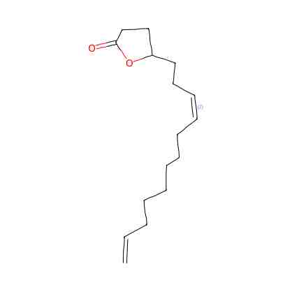 C=CCCCCCC/C=C\CCC1CCC(=O)O1